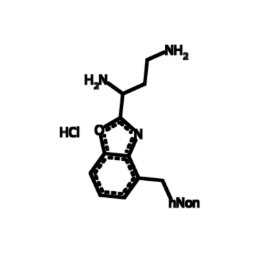 CCCCCCCCCCc1cccc2oc(C(N)CCN)nc12.Cl